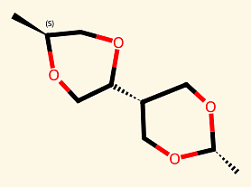 C[C@H]1COC([C@H]2CO[C@@H](C)OC2)CO1